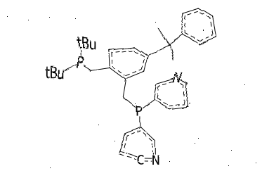 CC(C)(c1ccccc1)c1ccc(CP(C(C)(C)C)C(C)(C)C)c(CP(c2cccnc2)c2cccnc2)c1